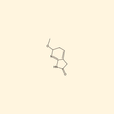 COC1CC=C2CC(=O)NC2=N1